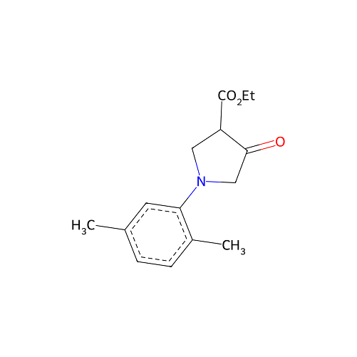 CCOC(=O)C1CN(c2cc(C)ccc2C)CC1=O